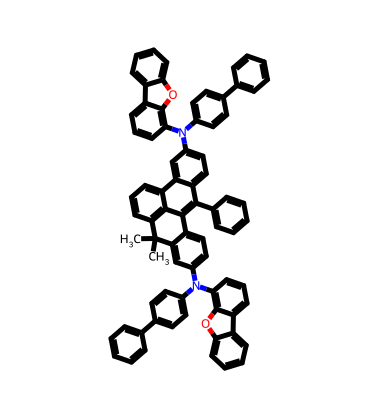 CC1(C)c2cc(N(c3ccc(-c4ccccc4)cc3)c3cccc4c3oc3ccccc34)ccc2-c2c(-c3ccccc3)c3ccc(N(c4ccc(-c5ccccc5)cc4)c4cccc5c4oc4ccccc45)cc3c3cccc1c23